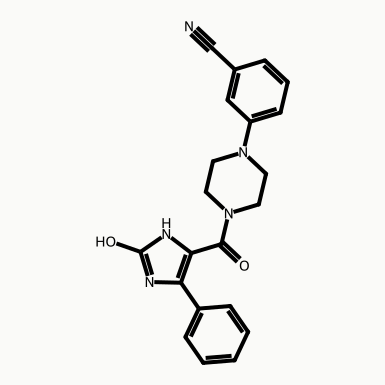 N#Cc1cccc(N2CCN(C(=O)c3[nH]c(O)nc3-c3ccccc3)CC2)c1